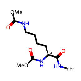 CCCNC(=O)[C@H](CCCCNC(=O)OC)NC(=O)OC